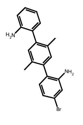 Cc1cc(-c2ccc(Br)cc2N)c(C)cc1-c1ccccc1N